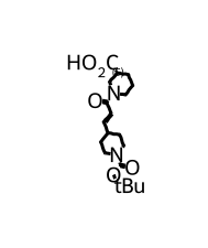 CC(C)(C)OC(=O)N1CCC(C=CC(=O)N2CCC[C@H](C(=O)O)C2)CC1